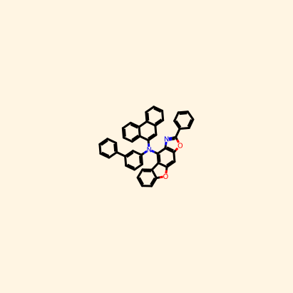 c1ccc(-c2cccc(N(c3cc4ccccc4c4ccccc34)c3c4nc(-c5ccccc5)oc4cc4oc5ccccc5c34)c2)cc1